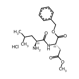 COC(=O)C[C@H](NC(=O)[C@@H](N)CC(C)C)C(=O)OCc1ccccc1.Cl